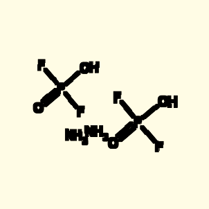 N.N.O=P(O)(F)F.O=P(O)(F)F